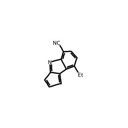 CCc1ccc(C#N)c2c1C1=CC=CC1=N2